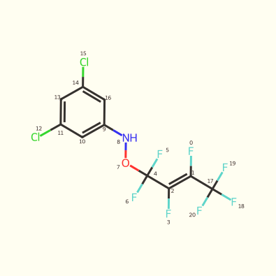 FC(=C(F)C(F)(F)ONc1cc(Cl)cc(Cl)c1)C(F)(F)F